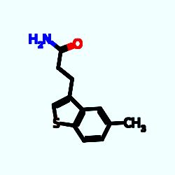 Cc1ccc2scc(CCC(N)=O)c2c1